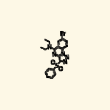 CCN(CC)c1nc2c(S(=O)(=O)c3ccccc3)nnn2c2ccc(Br)cc12